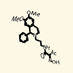 COc1cc2c(cc1OC)C(c1ccccc1)N(CCCNC(=O)/C(=N/O)C(C)=O)CC2